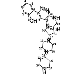 Oc1ccccc1-c1cc2c(nn1)NC[C@H]1CC(N3CCN(C4CCNCC4)CC3)CN21